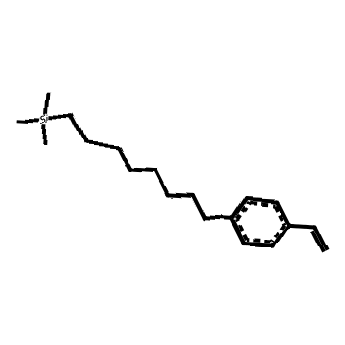 C=Cc1ccc(CCCCCCCC[Si](C)(C)C)cc1